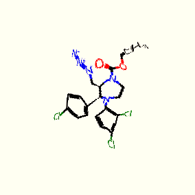 CCOC(=O)N1CCN(c2ccc(Cl)cc2Cl)[C@@H](c2ccc(Cl)cc2)[C@H]1CN=[N+]=[N-]